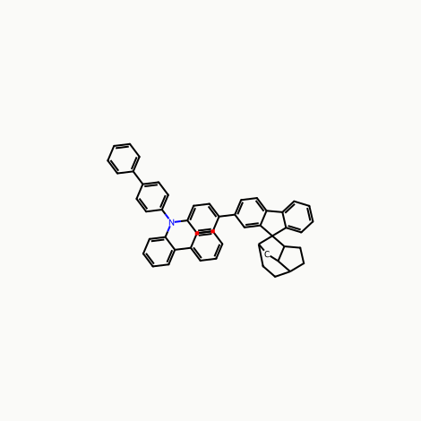 c1ccc(-c2ccc(N(c3ccc(-c4ccc5c(c4)C4(c6ccccc6-5)C5CCC6CCC4C6C5)cc3)c3ccccc3-c3ccccc3)cc2)cc1